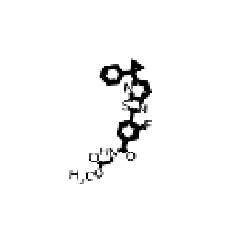 COC(=O)CNC(=O)c1ccc(-c2nc3ccc(C4(c5ccccc5)C=C4)nc3s2)c(F)c1